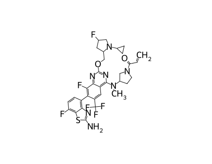 C=CC(=O)N1CCC(N(C)c2nc(OCC3CC(F)CN3C3CC3)nc3c(F)c(-c4ccc(F)c5sc(N)nc45)c(C(F)(F)F)cc23)C1